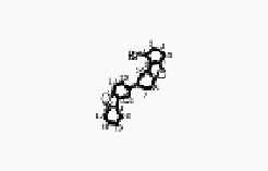 Brc1cccc2oc3ccc(-c4ccc5oc6ccccc6c5c4)cc3c12